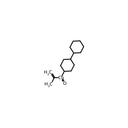 C=[C](C)[Co](=[O])[CH]1CCC(C2CCCCC2)CC1